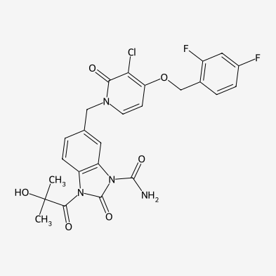 CC(C)(O)C(=O)n1c(=O)n(C(N)=O)c2cc(Cn3ccc(OCc4ccc(F)cc4F)c(Cl)c3=O)ccc21